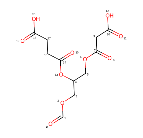 O=COCC(COC(=O)CC(=O)O)OC(=O)CCC(=O)O